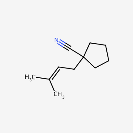 CC(C)=CCC1(C#N)CCCC1